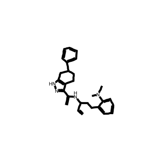 C=CC(CCc1ccccc1N(C)C)NC(=C)c1n[nH]c2c1CCC(c1ccccc1)C2